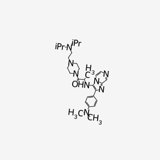 CC(Nc1c(-c2ccc(N(C)C)cc2)nc2cnccn12)C(=O)N1CCN(CCN(C(C)C)C(C)C)CC1